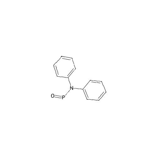 O=PN(c1ccccc1)c1ccccc1